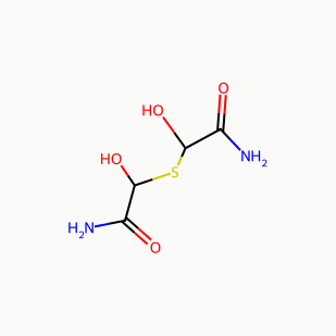 NC(=O)C(O)SC(O)C(N)=O